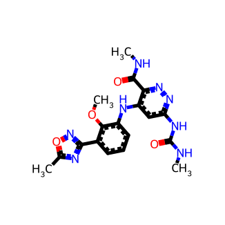 CNC(=O)Nc1cc(Nc2cccc(-c3noc(C)n3)c2OC)c(C(=O)NC)nn1